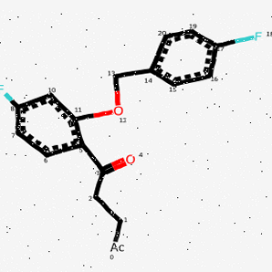 CC(=O)CCC(=O)c1ccc(F)cc1OCc1ccc(F)cc1